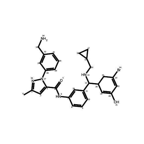 Cc1cc(C(=O)Nc2cccc(C(NCC3CC3)C3C=C(O)C=C(Br)C3)c2)n(-c2cccc(CN)c2)n1